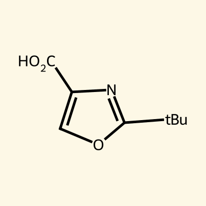 CC(C)(C)c1nc(C(=O)O)co1